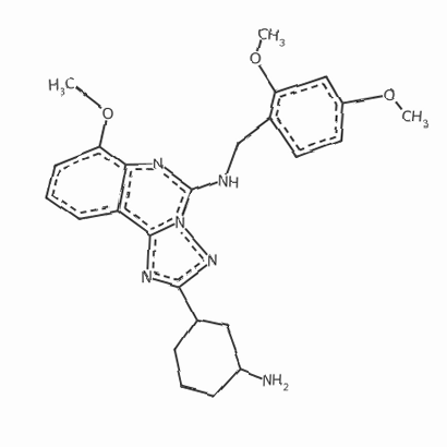 COc1ccc(CNc2nc3c(OC)cccc3c3nc(C4CCCC(N)C4)nn23)c(OC)c1